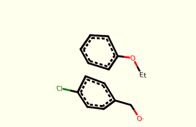 CCOc1ccccc1.[O]Cc1ccc(Cl)cc1